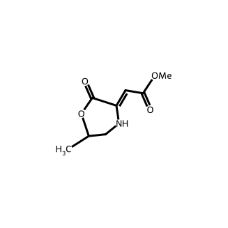 COC(=O)C=C1NCC(C)OC1=O